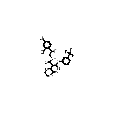 O=C(NCC(F)c1ccc(Cl)cc1Cl)c1c(Oc2cccc(C(F)(F)F)c2)nnc2c1OCCO2